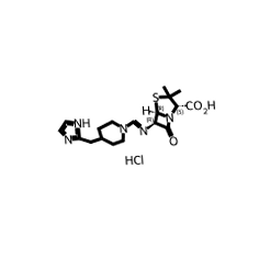 CC1(C)S[C@@H]2[C@H](N=CN3CCC(Cc4ncc[nH]4)CC3)C(=O)N2[C@H]1C(=O)O.Cl